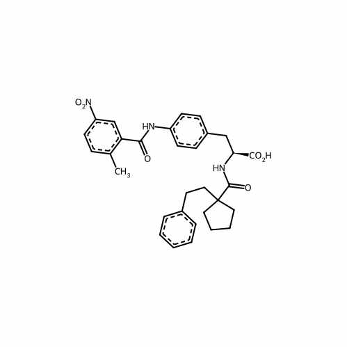 Cc1ccc([N+](=O)[O-])cc1C(=O)Nc1ccc(C[C@H](NC(=O)C2(CCc3ccccc3)CCCC2)C(=O)O)cc1